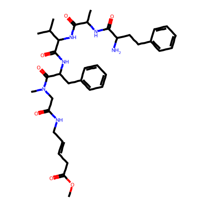 COC(=O)C/C=C/CNC(=O)CN(C)C(=O)C(Cc1ccccc1)NC(=O)C(NC(=O)C(C)NC(=O)C(N)CCc1ccccc1)C(C)C